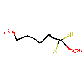 OCCCCC(O)(S)S